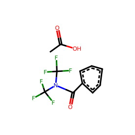 CC(=O)O.O=C(c1ccccc1)N(C(F)(F)F)C(F)(F)F